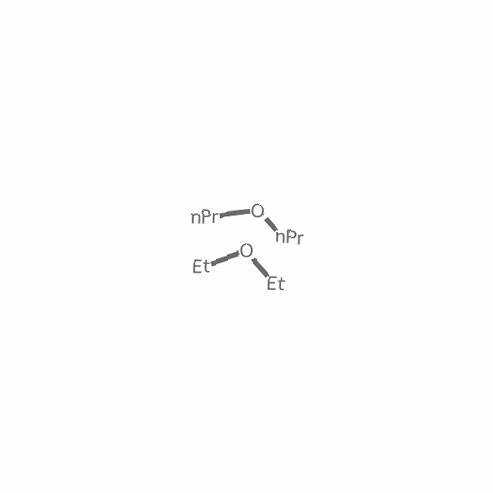 CCCOCCC.CCOCC